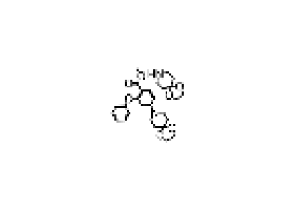 C1CC2(CCN1)OCCO2.COC(=O)c1ccc(N2CCC3(CC2)OCCO3)cc1Oc1ccccc1